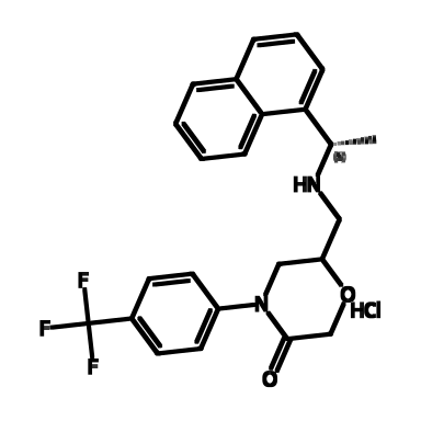 C[C@H](NCC1CN(c2ccc(C(F)(F)F)cc2)C(=O)CO1)c1cccc2ccccc12.Cl